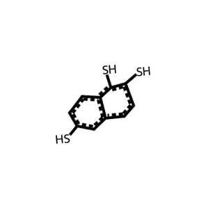 Sc1ccc2c(S)c(S)ccc2c1